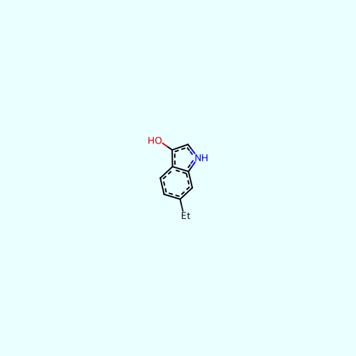 CCc1ccc2c(O)c[nH]c2c1